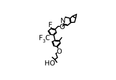 Cc1cc(OCCC(C)(C)O)ccc1-c1cc(COc2cc3c(cn2)C2CC2C3)c(F)cc1C(F)(F)F